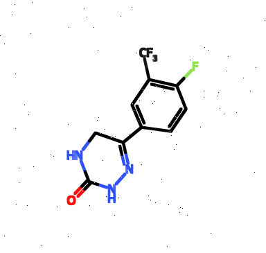 O=C1NCC(c2ccc(F)c(C(F)(F)F)c2)=NN1